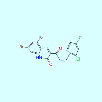 O=C(/C=C\c1ccc(Cl)cc1Cl)c1cc2c(Br)cc(Br)cc2[nH]c1=O